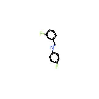 Fc1ccc(N=Cc2cccc(F)c2)cc1